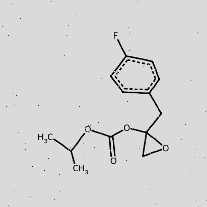 CC(C)OC(=O)OC1(Cc2ccc(F)cc2)CO1